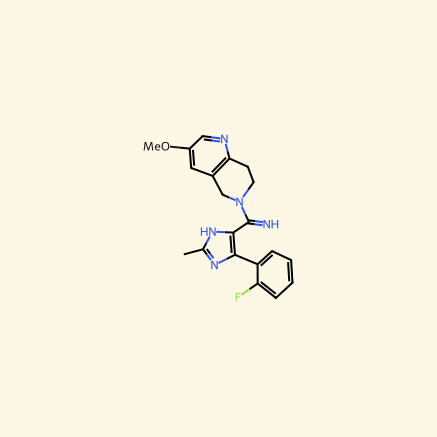 COc1cnc2c(c1)CN(C(=N)c1[nH]c(C)nc1-c1ccccc1F)CC2